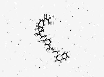 Cn1c(C(=O)c2nc3cc(NC(=N)N)ccc3[nH]2)nc2ccc(C(=O)NCCc3cccc4ccccc34)cc21